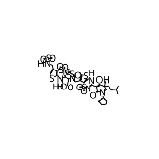 CC(C)CCC1(C)CN(C2CCCC2)C(=O)C(C2=NS(=O)(=O)c3c(CN(C(C(=O)O)C4=NS(=O)(=O)c5c(CNS(C)(=O)=O)csc5N4)S(C)(=O)=O)csc3N2)=C1O